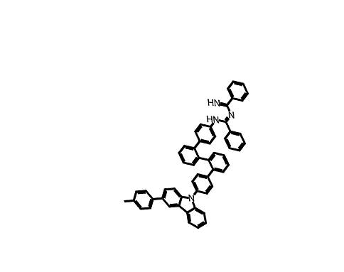 Cc1ccc(-c2ccc3c(c2)c2ccccc2n3-c2ccc(-c3ccccc3-c3ccccc3-c3ccc(N/C(=N\C(=N)c4ccccc4)c4ccccc4)cc3)cc2)cc1